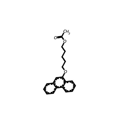 CC(=O)OCCCCCOc1cc2ccccc2c2ccccc12